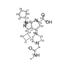 CNC(=O)CN1CCN(c2cc(C(=O)O)nc3c2c(C2CCC2)nn3-c2ccccc2)CC1